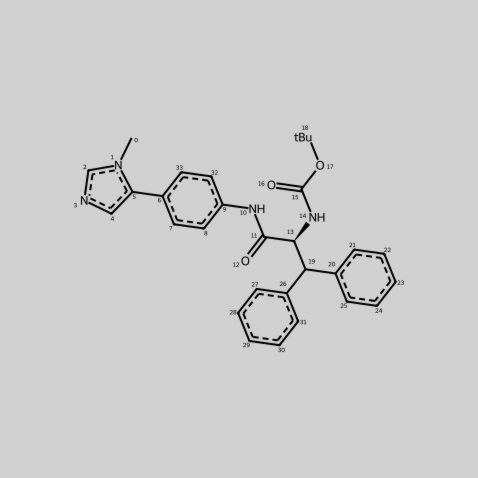 Cn1cncc1-c1ccc(NC(=O)[C@@H](NC(=O)OC(C)(C)C)C(c2ccccc2)c2ccccc2)cc1